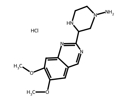 COc1cc2cnc(C3CN(N)CCN3)nc2cc1OC.Cl